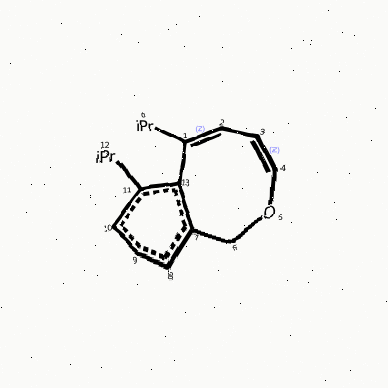 CC(C)/C1=C/C=C\OCc2cccc(C(C)C)c21